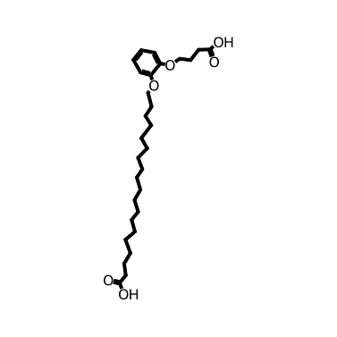 O=C(O)CCCCCCCCCCCCCCCCCCOc1ccccc1OCCCC(=O)O